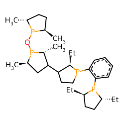 CC[C@@H]1CC[C@@H](CC)P1c1ccccc1P1CCC(C2C[C@@H](C)P(OP3[C@H](C)CC[C@H]3C)[C@@H]2C)[C@H]1CC